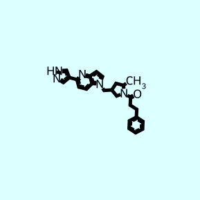 CC1CC(Cn2ccc3nc(-c4cn[nH]c4)ccc32)CN1C(=O)CCc1ccccc1